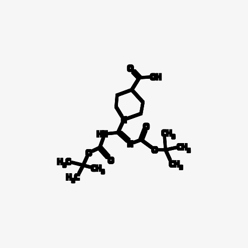 CC(C)(C)OC(=O)/N=C(/NC(=O)OC(C)(C)C)N1CCC(C(=O)O)CC1